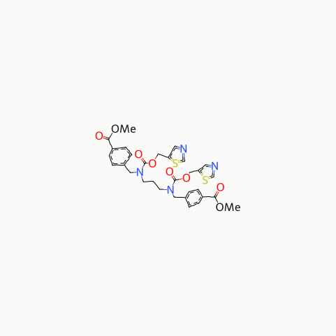 COC(=O)c1ccc(CN(CCCN(Cc2ccc(C(=O)OC)cc2)C(=O)OCc2cncs2)C(=O)OCc2cncs2)cc1